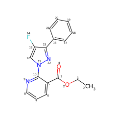 CCOC(=O)c1cccnc1-n1cc(F)c(-c2ccccc2)n1